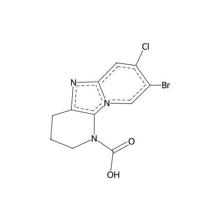 O=C(O)N1CCCc2nc3cc(Cl)c(Br)cn3c21